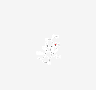 C[C@@H]1COC2[C@H](O)C34C5C[C@@H](C(C)(C)C)C36C(O[C@H](O)[C@@H]6O)O[C@@]4(C(=O)O5)[C@]21O